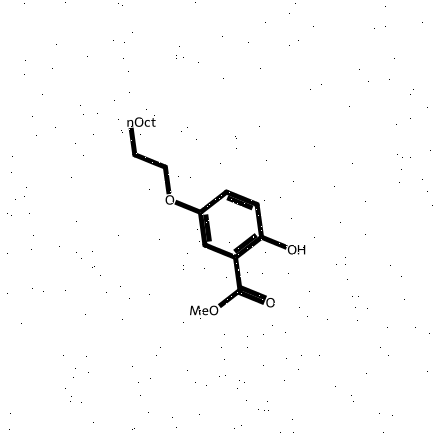 CCCCCCCCCCOc1ccc(O)c(C(=O)OC)c1